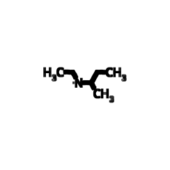 CC[N]C(C)CC